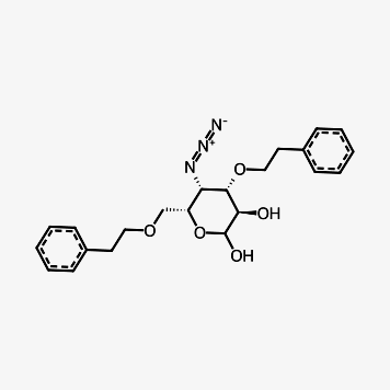 [N-]=[N+]=N[C@@H]1[C@H](OCCc2ccccc2)[C@@H](O)C(O)O[C@@H]1COCCc1ccccc1